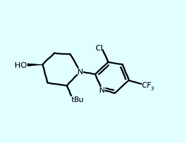 CC(C)(C)C1C[C@@H](O)CCN1c1ncc(C(F)(F)F)cc1Cl